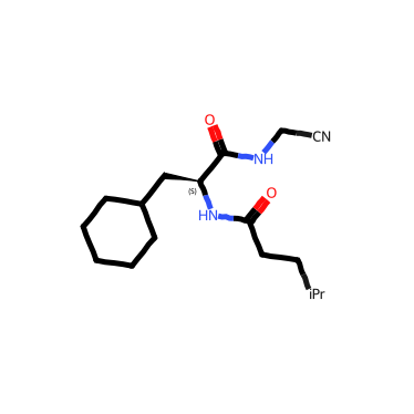 CC(C)CCC(=O)N[C@@H](CC1CCCCC1)C(=O)NCC#N